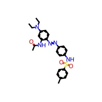 CCN(CC)c1ccc(/N=N/c2ccc(NS(=O)(=O)c3ccc(C)cc3)cc2)c(NC(C)=O)c1